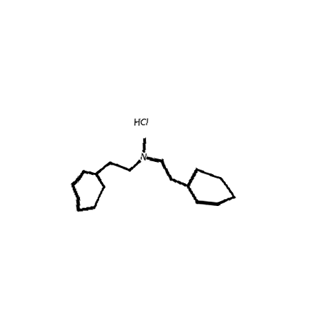 CN(CCC1CCCCC1)CCC1CCCCC1.Cl